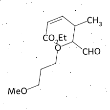 CCOC(=O)/C=C\C(C)C(C=O)OCCCOC